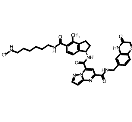 Cc1c(C(=O)NCCCCCCNCl)ccc2c1CC[C@@H]2NC(=O)c1cc(C(=O)NCc2ccc3c(c2)NC(=O)CO3)nc2ccnn12